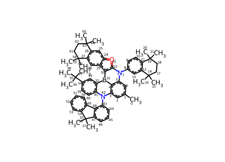 Cc1cc2c3c(c1)N(c1ccc4c(c1)C(C)(C)CCC4(C)C)c1oc4cc5c(cc4c1B3c1cc(C(C)(C)C)ccc1N2c1cccc2c1-c1ccccc1C2(C)C)C(C)(C)CCC5(C)C